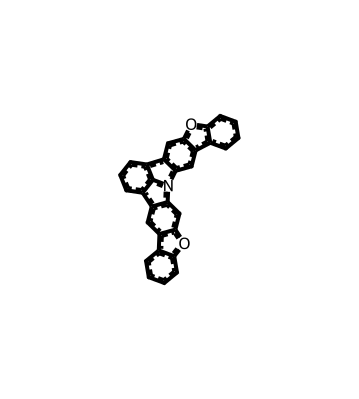 c1ccc2c(c1)oc1cc3c(cc12)c1cccc2c4cc5oc6ccccc6c5cc4n3c12